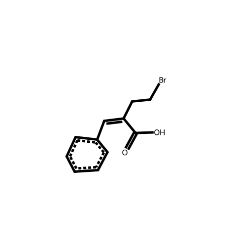 O=C(O)C(=Cc1ccccc1)CCBr